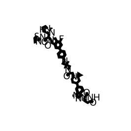 Cn1nc(N2CCC(=O)NC2=O)c2ccc(C3CCN(CC(=O)N4CC5(C4)CN(c4ccc(-c6cc(F)c7c(c6)C(=O)N(C(C(=O)Nc6nccs6)c6ncn8c6CCC8)C7)cc4)C5)C4(CC4)C3)cc21